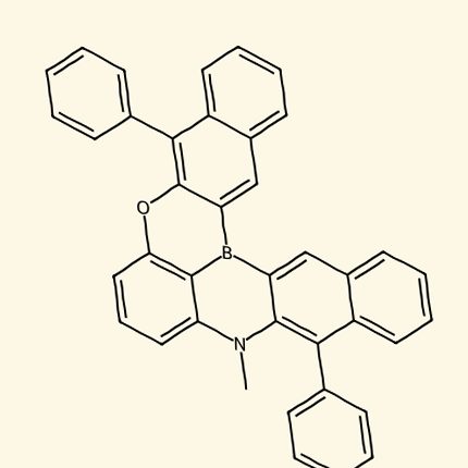 CN1c2cccc3c2B(c2cc4ccccc4c(-c4ccccc4)c2O3)c2cc3ccccc3c(-c3ccccc3)c21